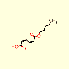 CCCCCOC(=O)/C=C\C=C/C(=O)O